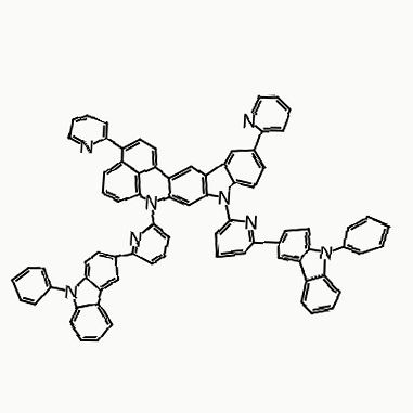 c1ccc(-n2c3ccccc3c3cc(-c4cccc(N5c6cc7c(cc6-c6ccc(-c8ccccn8)c8cccc5c68)c5cc(-c6ccccn6)ccc5n7-c5cccc(-c6ccc7c(c6)c6ccccc6n7-c6ccccc6)n5)n4)ccc32)cc1